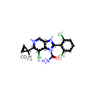 NC(=O)n1c(-c2c(Cl)cccc2Cl)nc2[c]nc(C3(C(=O)O)C=C3)c(Br)c21